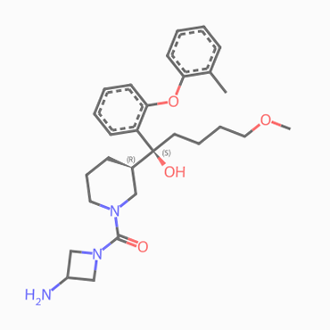 COCCCC[C@@](O)(c1ccccc1Oc1ccccc1C)[C@@H]1CCCN(C(=O)N2CC(N)C2)C1